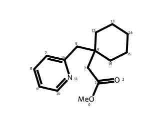 COC(=O)CC1(Cc2ccccn2)CCCCC1